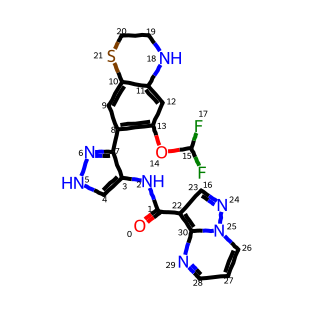 O=C(Nc1c[nH]nc1-c1cc2c(cc1OC(F)F)NCCS2)c1cnn2cccnc12